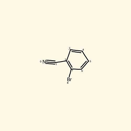 N#Cc1[c]cccc1Br